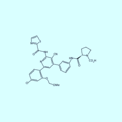 COCOc1cc(Cl)ccc1-c1cc(-c2cccc(NC(=O)[C@H]3CCCN3C(=O)O)c2)c(C#N)c(NC(=O)c2nccs2)n1